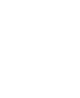 c1ccc2c(c1)Cc1c(CCC3OCCO3)cccc1-2